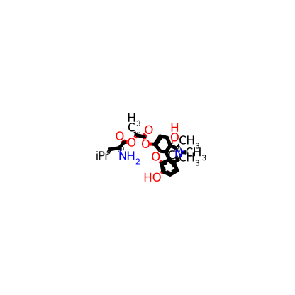 Cc1ccc(O)c2c1C13CCN(C)[C@H](C)[C@]1(O)CC=C(OC(=O)[C@H](C)OC(=O)[C@@H](N)CC(C)C)C3O2